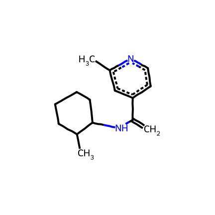 C=C(NC1CCCCC1C)c1ccnc(C)c1